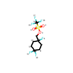 O=S(=O)(OCC1(F)CCC(F)(F)CC1)C(F)(F)F